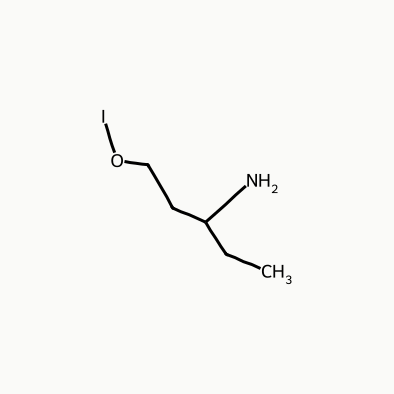 CCC(N)CCOI